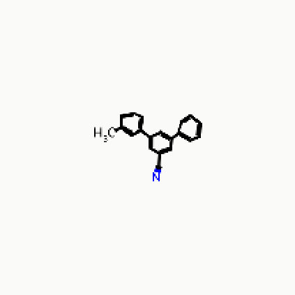 Cc1cccc(-c2cc(C#N)cc(-c3ccccc3)c2)c1